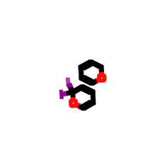 C1=CCOC=C1.IC1(I)C=CC=CO1